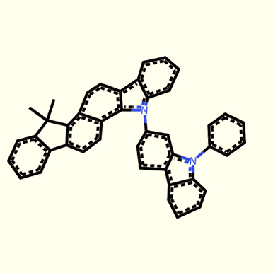 CC1(C)c2ccccc2-c2ccc3c(ccc4c5ccccc5n(-c5ccc6c7ccccc7n(-c7ccccc7)c6c5)c34)c21